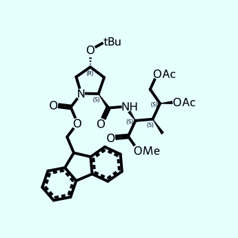 COC(=O)[C@@H](NC(=O)[C@@H]1C[C@@H](OC(C)(C)C)CN1C(=O)OCC1c2ccccc2-c2ccccc21)[C@H](C)[C@@H](COC(C)=O)OC(C)=O